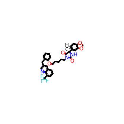 CC1(c2ccc3c(c2)OCO3)NC(=O)N(CCCCCOc2c(Cc3ccccc3)cnc3c(C(F)(F)F)cccc23)C1=O